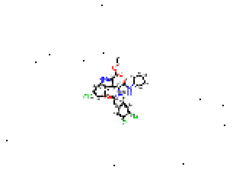 CCOC(=O)c1[nH]c2cc(Cl)ccc2c1C(C(=O)NC1CCCCC1)N(Cc1ccc(Cl)c(Cl)c1)C(C)=O